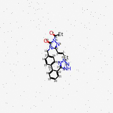 CC/C=C/c1nn(C(=O)CC)c(=O)n1Cc1ccc(-c2ccccc2-c2nnn[nH]2)cc1